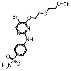 CCOCCOCCOc1nc(Nc2ccc(S(N)(=O)=O)cc2)ncc1Br